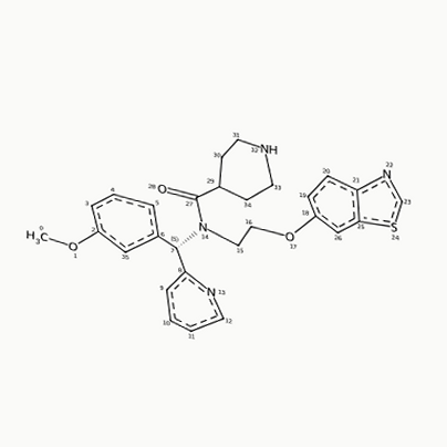 COc1cccc([C@@H](c2ccccn2)N(CCOc2ccc3ncsc3c2)C(=O)C2CCNCC2)c1